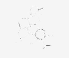 CC(C)c1cc(C(C)C)c([SH](=O)=O)c(C(C)C)c1C1C[C@H](O)CC2=CC[C@H]3[C@@H]4CCC(=O)[C@@]4(C)CC[C@@H]3[C@]21C